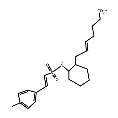 O=C(O)CCCC=CCC1CCCCC1NS(=O)(=O)C=Cc1ccc(I)cc1